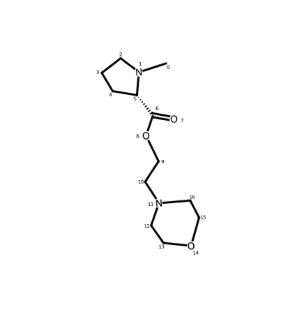 CN1CCC[C@H]1C(=O)OCCN1CCOCC1